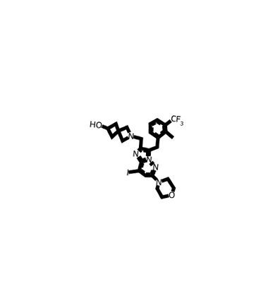 Cc1c(Cc2c(CN3CC4(CC(O)C4)C3)nc3c(I)cc(N4CCOCC4)nn23)cccc1C(F)(F)F